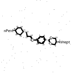 CCCCCCC[C@H]1CO[C@H](c2ccc(OCCC[C@H]3CC[C@H](CCCCC)CC3)cc2)OC1